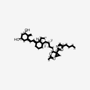 C=C1/C(=C\C=C2/CCC[C@]3(C)[C@@H]([C@H](C)CC[C@H](OC(C)=O)C4(c5ncc(CCCC)o5)CC4)CC[C@@H]23)C[C@@H](O)C[C@@H]1O